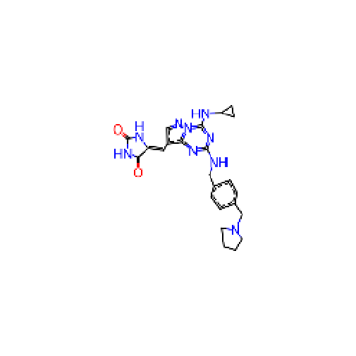 O=C1NC(=O)/C(=C/c2cnn3c(NC4CC4)nc(NCc4ccc(CN5CCCC5)cc4)nc23)N1